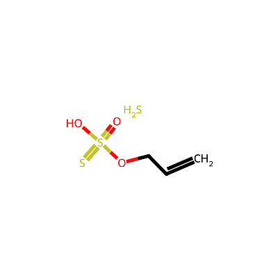 C=CCOS(=O)(O)=S.S